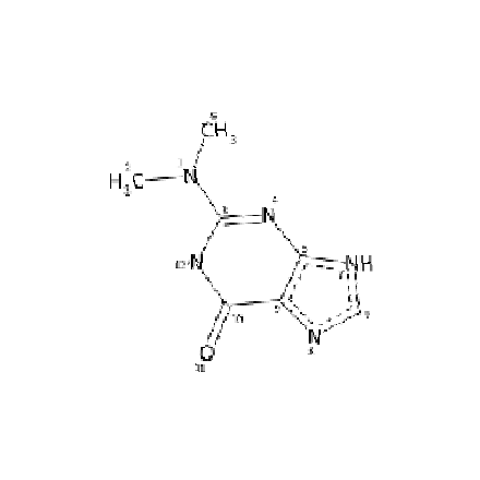 CN(C)C1=Nc2[nH]cnc2C(=O)[N]1